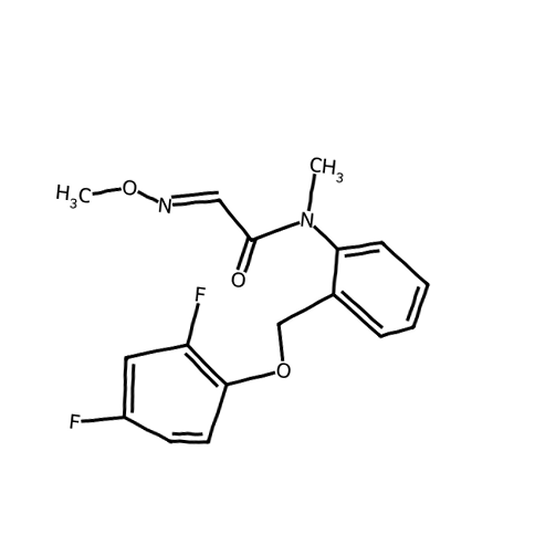 CON=CC(=O)N(C)c1ccccc1COc1ccc(F)cc1F